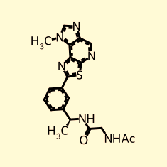 CC(=O)NCC(=O)N[C@@H](C)c1cccc(-c2nc3c(ncc4ncn(C)c43)s2)c1